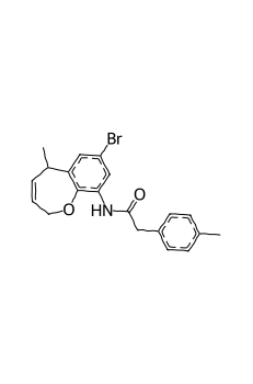 Cc1ccc(CC(=O)Nc2cc(Br)cc3c2OCC=CC3C)cc1